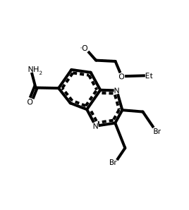 CCOCC[O].NC(=O)c1ccc2nc(CBr)c(CBr)nc2c1